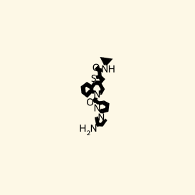 NC1CCN(c2cccc(C(=O)N3CCc4cc(C(=O)NC5CC5)sc4-c4ccccc43)n2)C1